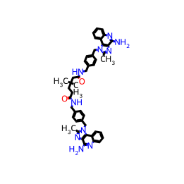 Cc1nc2c(N)nc3ccccc3c2n1Cc1ccc(CNC(=O)CCC(C)(C)CC(=O)NCc2ccc(Cn3c(C)nc4c(N)nc5ccccc5c43)cc2)cc1